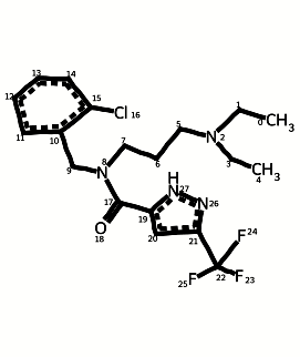 CCN(CC)CCCN(Cc1ccccc1Cl)C(=O)c1cc(C(F)(F)F)n[nH]1